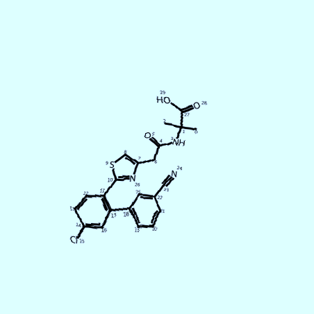 CC(C)(NC(=O)Cc1csc(-c2ccc(Cl)cc2-c2cccc(C#N)c2)n1)C(=O)O